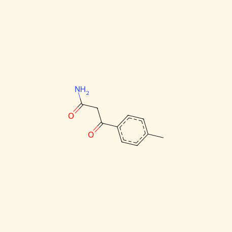 Cc1ccc(C(=O)CC(N)=O)cc1